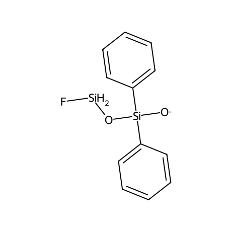 [O][Si](O[SiH2]F)(c1ccccc1)c1ccccc1